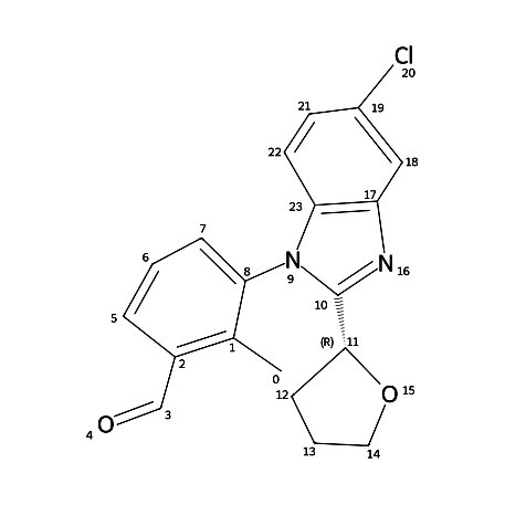 Cc1c(C=O)cccc1-n1c([C@H]2CCCO2)nc2cc(Cl)ccc21